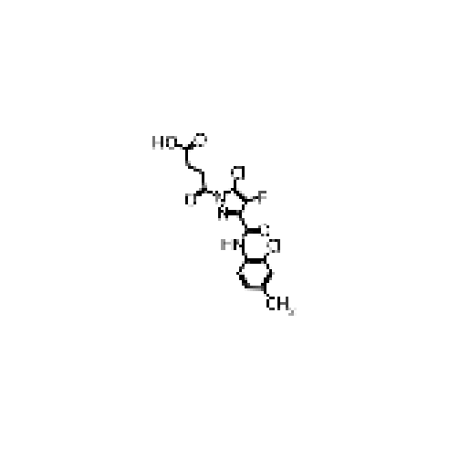 Cc1ccc(NC(=O)c2nn(C(=O)CCC(=O)O)c(Cl)c2F)c(Cl)c1